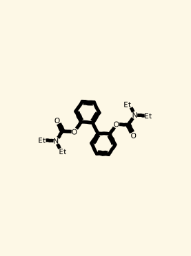 CCN(CC)C(=O)Oc1ccccc1-c1ccccc1OC(=O)N(CC)CC